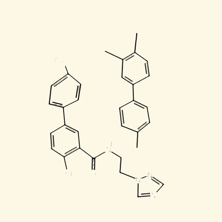 Cc1ccc(-c2ccc(C[C@H](Cn3cncn3)NC(=O)c3cc(-c4ccc(C(F)(F)F)cc4)ccc3O)cc2)cc1C